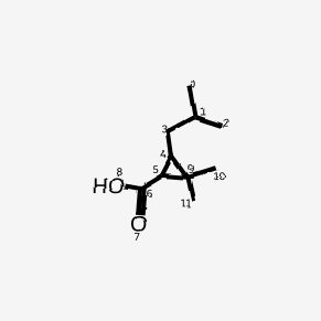 CC(C)CC1C(C(=O)O)C1(C)C